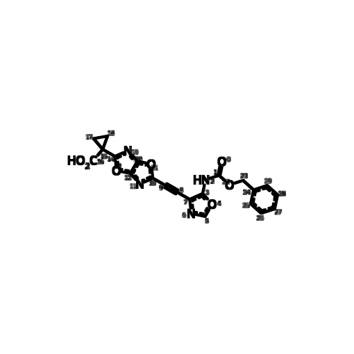 O=C(Nc1ocnc1C#Cc1nc2oc(C3(C(=O)O)CC3)nc2o1)OCc1ccccc1